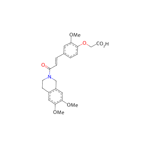 COc1cc2c(cc1OC)CN(C(=O)C=Cc1ccc(OCC(=O)O)c(OC)c1)CC2